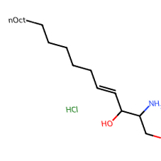 CCCCCCCCCCCCCC=CC(O)C(N)CO.Cl